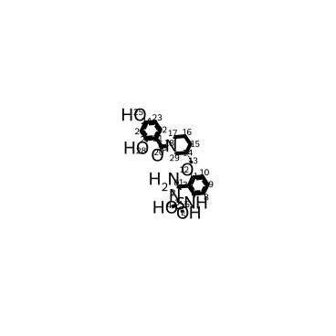 NC1=NS(O)(O)Nc2cccc(OC[C@H]3CCCN(C(=O)c4ccc(O)cc4O)C3)c21